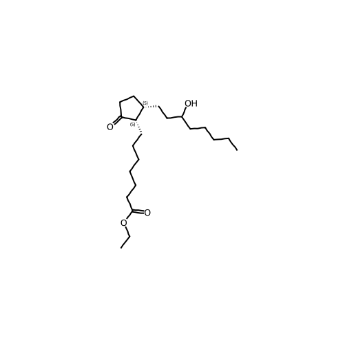 CCCCCC(O)CC[C@H]1CCC(=O)[C@H]1CCCCCCC(=O)OCC